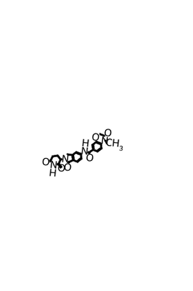 CN1C(=O)COc2cc(C(=O)Nc3ccc4c(c3)CN(C3CCC(=O)NC3=O)C4=O)ccc21